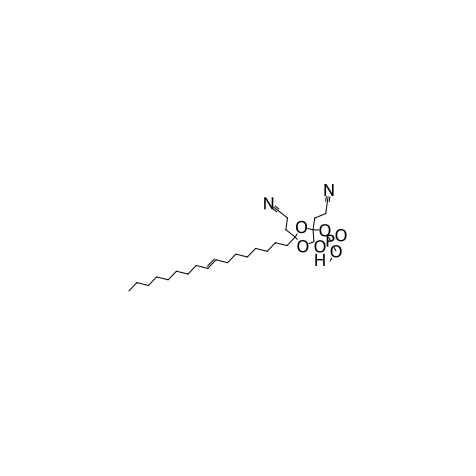 CCCCCCCCC=CCCCCCCCC1(CCC#N)OCC(CCC#N)(OP(=O)(O)OC)O1